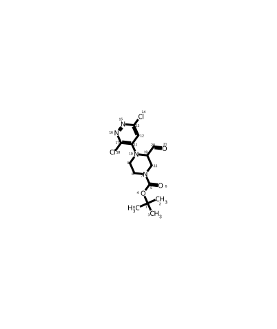 CC(C)(C)OC(=O)N1CCN(c2cc(Cl)nnc2Cl)C(C=O)C1